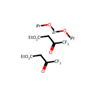 CC(C)[O][Zr][O]C(C)C.CCOC(=O)CC(=O)C(F)(F)F.CCOC(=O)CC(=O)C(F)(F)F